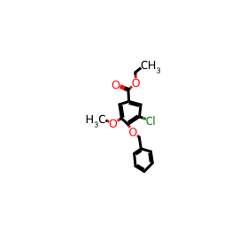 CCOC(=O)c1cc(Cl)c(OCc2ccccc2)c(OC)c1